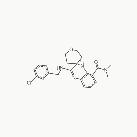 CN(C)C(=O)c1cccc2c1NC1(CCOCC1)C(NCc1cccc(Cl)c1)=N2